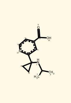 CC(C)NC1(c2cc(C(=O)O)ccn2)CC1